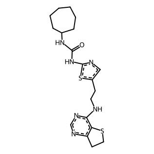 O=C(Nc1ncc(CCNc2ncnc3c2SCC3)s1)NC1CCCCCC1